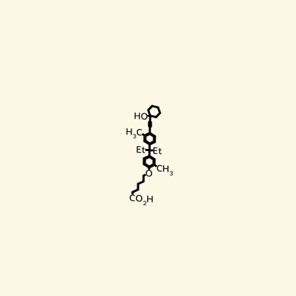 CCC(CC)(c1ccc(C#CC2(O)CCCCC2)c(C)c1)c1ccc(OCCCCCC(=O)O)c(C)c1